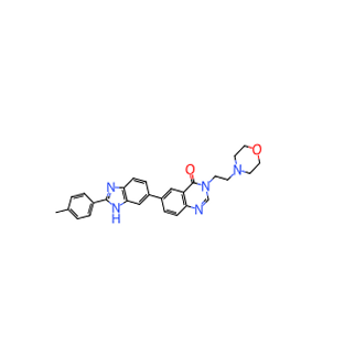 Cc1ccc(-c2nc3ccc(-c4ccc5ncn(CCN6CCOCC6)c(=O)c5c4)cc3[nH]2)cc1